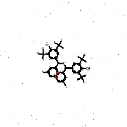 Cc1cccc(C(SC(c2cccc(C)c2)c2cc(C(C)(C)C)c(O)c(C(C)(C)C)c2)c2cc(C(C)(C)C)c(O)c(C(C)(C)C)c2)c1